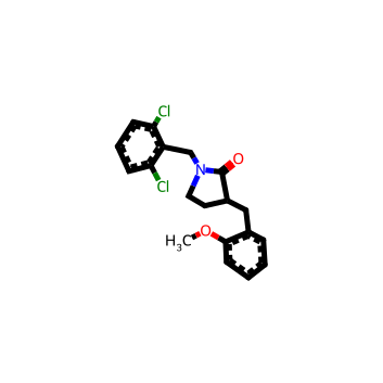 COc1ccccc1CC1CCN(Cc2c(Cl)cccc2Cl)C1=O